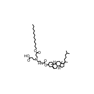 CCCCCCCCCCCCOC(=O)CCN(CCNC(=O)O[C@H]1CC[C@@]2(C)C(=CCC3[C@@H]4CC[C@H]([C@H](C)CCCC(C)C)[C@@]4(C)CC[C@@H]32)C1)CCC(=O)O